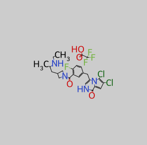 CCNC(C)CC1CN(C(=O)c2cc(Cc3c[nH]c(=O)c4cc(Cl)c(Cl)n34)ccc2F)C1.O=C(O)C(F)(F)F